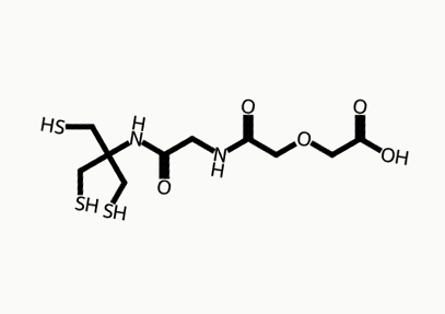 O=C(O)COCC(=O)NCC(=O)NC(CS)(CS)CS